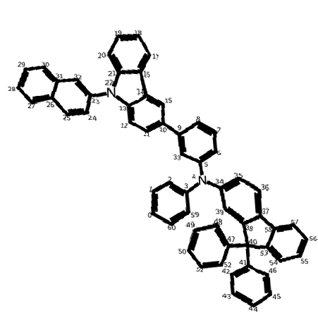 c1ccc(N(c2cccc(-c3ccc4c(c3)c3ccccc3n4-c3ccc4ccccc4c3)c2)c2ccc3c(c2)C(c2ccccc2)(c2ccccc2)c2ccccc2-3)cc1